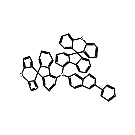 c1ccc(-c2ccc3cc(N(c4cccc5c4-c4ccccc4C54c5ccccc5Oc5ccccc54)c4cccc5c4-c4ccccc4C54c5ccccc5Sc5ccccc54)ccc3c2)cc1